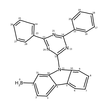 Bc1ccc2c3ccccc3n(-c3nc(-c4ccccc4)nc(-c4ccccc4)n3)c2c1